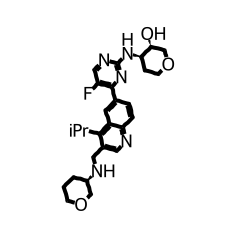 CC(C)c1c(CN[C@@H]2CCCOC2)cnc2ccc(-c3nc(N[C@@H]4CCOC[C@H]4O)ncc3F)cc12